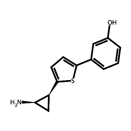 N[C@@H]1C[C@@H]1c1ccc(-c2cccc(O)c2)s1